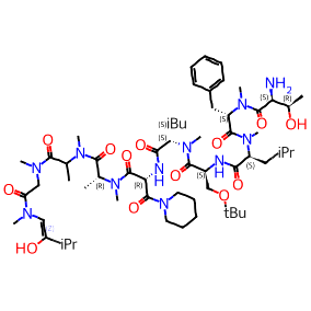 CC[C@H](C)[C@@H](C(=O)N[C@H](C(=O)N1CCCCC1)C(=O)N(C)[C@H](C)C(=O)N(C)C(C)C(=O)N(C)CC(=O)N(C)/C=C(\O)C(C)C)N(C)C(=O)[C@H](COC(C)(C)C)NC(=O)[C@H](CC(C)C)N(C)C(=O)[C@H](Cc1ccccc1)N(C)C(=O)[C@@H](N)[C@@H](C)O